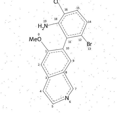 COc1cc2ccncc2cc1-c1c(Br)ccc(Cl)c1N